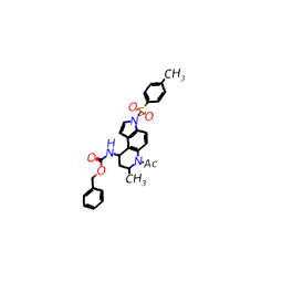 CC(=O)N1c2ccc3c(ccn3S(=O)(=O)c3ccc(C)cc3)c2C(NC(=O)OCc2ccccc2)CC1C